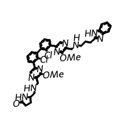 COc1nc(-c2cccc(-c3cccc(-c4cnc(CNCC5CCC(=O)N5)c(OC)n4)c3Cl)c2Cl)cnc1CNCCCc1nc2ccccc2[nH]1